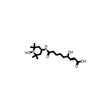 CC1(C)CC(NC(=O)CCCCC(O)/C=C/C(=O)O)CC(C)(C)N1O